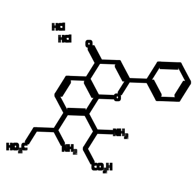 Cl.Cl.NC(CC(=O)O)c1ccc2c(=O)cc(-c3ccccc3)oc2c1C(N)CC(=O)O